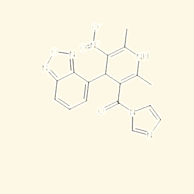 CC1=C(C(=O)n2ccnc2)C(c2cccc3nonc23)C([N+](=O)[O-])=C(C)N1